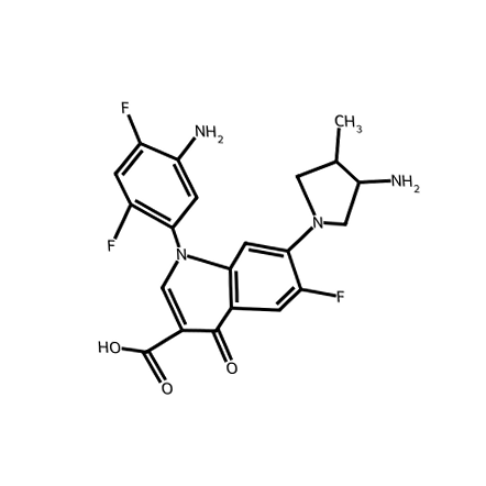 CC1CN(c2cc3c(cc2F)c(=O)c(C(=O)O)cn3-c2cc(N)c(F)cc2F)CC1N